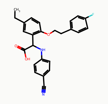 CCc1ccc(OCCc2ccc(F)cc2)c(C(Nc2ccc(C#N)cc2)C(=O)O)c1